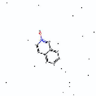 [O-][n+]1ccc2ccccc2c1